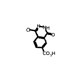 O=C(O)c1ccc2c(Cl)n[nH]c(=O)c2c1